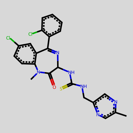 Cc1cnc(CNC(=S)NC2N=C(c3ccccc3Cl)c3cc(Cl)ccc3N(C)C2=O)cn1